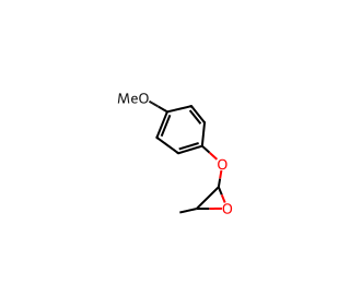 COc1ccc(OC2OC2C)cc1